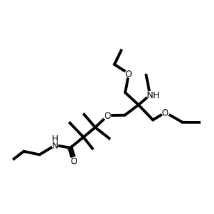 CCCNC(=O)C(C)(C)C(C)(C)OCC(COCC)(COCC)NC